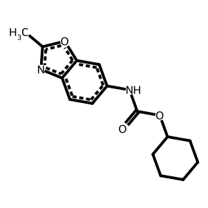 Cc1nc2ccc(NC(=O)OC3CCCCC3)cc2o1